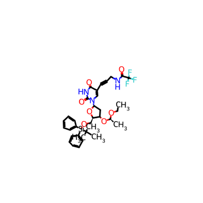 CCO[C@@H](C)OC1C[C@H](n2cc(C#CCNC(=O)C(F)(F)F)c(=O)[nH]c2=O)O[C@@H]1CO[Si](c1ccccc1)(c1ccccc1)C(C)(C)C